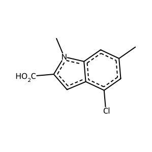 Cc1cc(Cl)c2cc(C(=O)O)n(C)c2c1